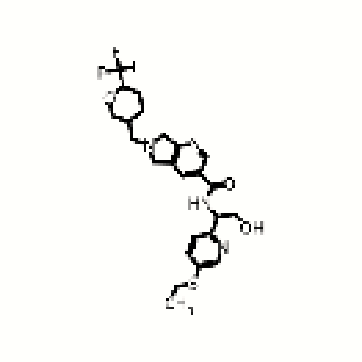 CCSc1ccc(C(CO)NC(=O)c2cnc3c(c2)CN(CC2CC[C@H](C(F)(F)F)OC2)C3)nc1